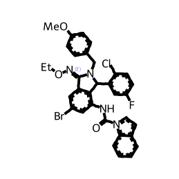 CCO/N=C1\c2cc(Br)cc(NC(=O)n3ccc4ccccc43)c2C(c2cc(F)ccc2Cl)N1Cc1ccc(OC)cc1